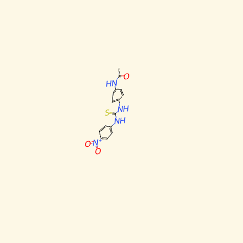 CC(=O)Nc1ccc(NC(=S)Nc2ccc([N+](=O)[O-])cc2)cc1